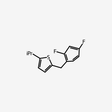 CC(C)c1ccc(Cc2ccc(F)cc2F)s1